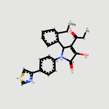 COCc1ccccc1C1C(C(=O)CC(C)C)=C(O)C(=O)N1c1ccc(-c2cscn2)cc1